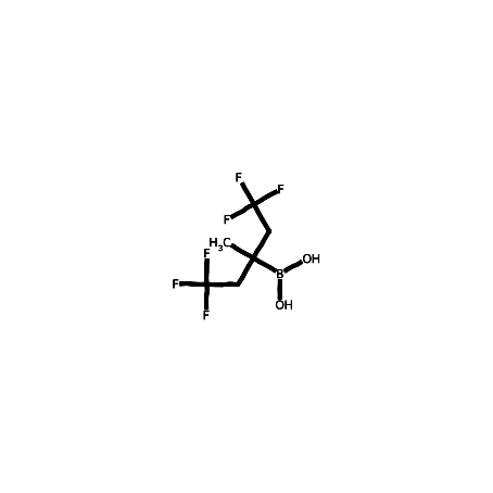 CC(CC(F)(F)F)(CC(F)(F)F)B(O)O